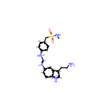 CNS(=O)(=O)Cc1ccc(NC=Nc2ccc3[nH]cc(CCN)c3c2)cc1